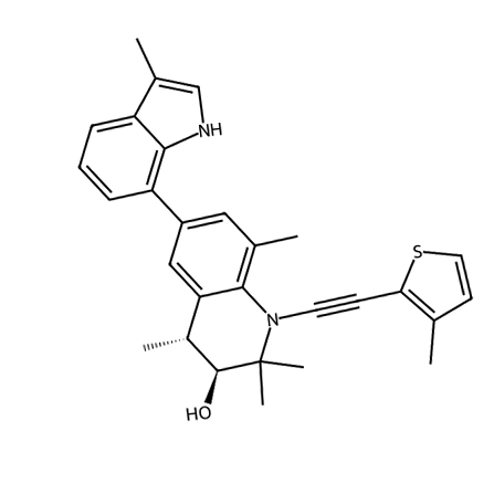 Cc1ccsc1C#CN1c2c(C)cc(-c3cccc4c(C)c[nH]c34)cc2[C@@H](C)[C@H](O)C1(C)C